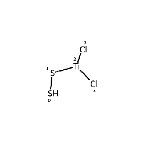 S[S][Ti]([Cl])[Cl]